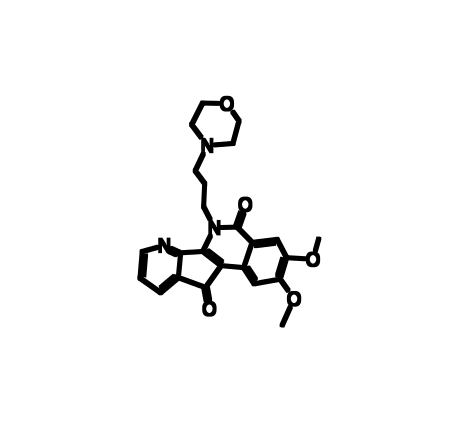 COc1cc2c3c(n(CCCN4CCOCC4)c(=O)c2cc1OC)-c1ncccc1C3=O